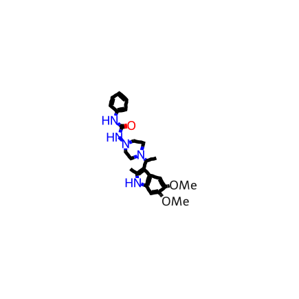 COc1cc2[nH]c(C)c(C(C)N3CCN(NC(=O)Nc4ccccc4)CC3)c2cc1OC